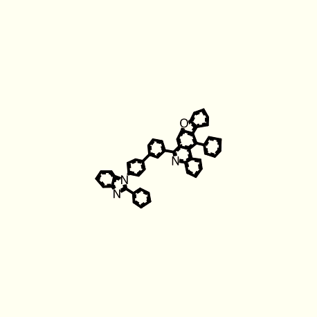 c1ccc(-c2c3c(cc4c(-c5cccc(-c6ccc(-n7c(-c8ccccc8)nc8ccccc87)cc6)c5)nc5ccccc5c24)oc2ccccc23)cc1